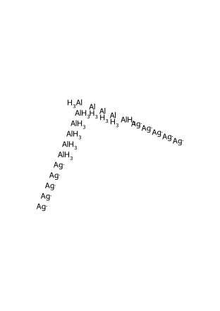 [Ag].[Ag].[Ag].[Ag].[Ag].[Ag].[Ag].[Ag].[Ag].[Ag].[AlH3].[AlH3].[AlH3].[AlH3].[AlH3].[AlH3].[AlH3].[AlH3].[AlH3].[AlH3]